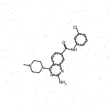 CN1CCN(c2nc(N)nc3cc(C(=O)Nc4cccc(Cl)c4)ccc23)CC1